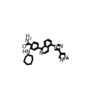 Cn1cc(-c2cn(-c3cccc4c(-c5ccc(C(N)=O)c(NC6CCCCCC6)c5)nccc34)cn2)cn1